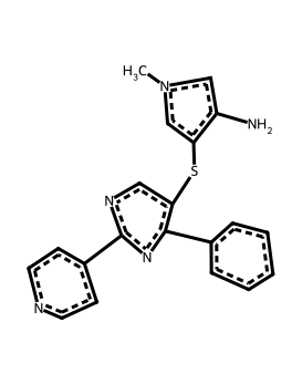 Cn1cc(N)c(Sc2cnc(-c3ccncc3)nc2-c2ccccc2)c1